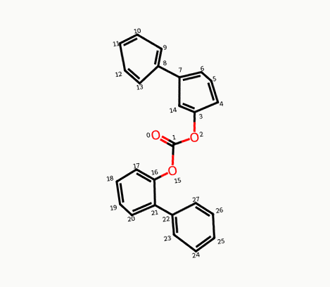 O=C(Oc1cccc(-c2ccccc2)c1)Oc1ccccc1-c1ccccc1